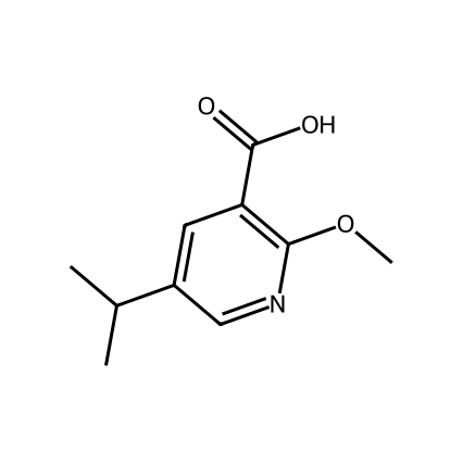 COc1ncc(C(C)C)cc1C(=O)O